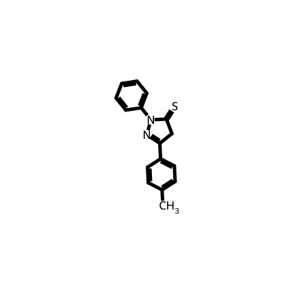 Cc1ccc(C2=NN(c3ccccc3)C(=S)C2)cc1